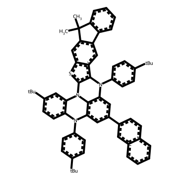 CC(C)(C)c1ccc(N2c3ccc(C(C)(C)C)cc3N3c4sc5cc6c(cc5c4N(c4ccc(C(C)(C)C)cc4)c4cc(-c5ccc7ccccc7c5)cc2c43)-c2ccccc2C6(C)C)cc1